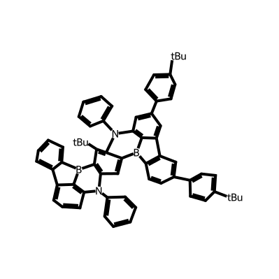 CC(C)(C)c1ccc(-c2ccc3c(c2)-c2cc(-c4ccc(C(C)(C)C)cc4)cc4c2B3c2cc3c(c(C(C)(C)C)c2N4c2ccccc2)B2c4ccccc4-c4cccc(c42)N3c2ccccc2)cc1